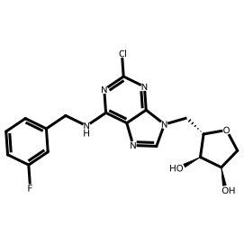 O[C@@H]1[C@H](O)CO[C@H]1Cn1cnc2c(NCc3cccc(F)c3)nc(Cl)nc21